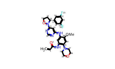 C=CC(=O)Nc1cc(Nc2cc(N3OCC[C@@H]3c3cc(F)cc(F)c3)ncn2)c(OC)cc1N1CCOCC1